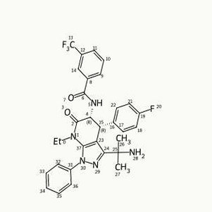 CCN1C(=O)[C@H](NC(=O)c2cccc(C(F)(F)F)c2)[C@H](c2ccc(F)cc2)c2c(C(C)(C)N)nn(-c3ccccc3)c21